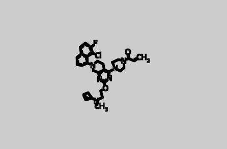 C=CC(=O)N1CCN(c2nc(OCCN(C)C34CC(C3)C4)nc3c2CCN(c2cccc4ccc(F)c(Cl)c24)C3)CC1